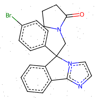 O=C1CCCN1CC1(c2ccc(Br)cc2)c2ccccc2-c2nccn21